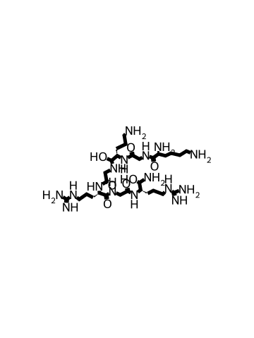 N=C(N)NCCC[C@H](NC(=O)CNC(O)[C@H](CCCN)NC(=O)CNC(=O)[C@@H](N)CCCCN)C(=O)NCC(=O)N[C@@H](CCCNC(=N)N)C(N)O